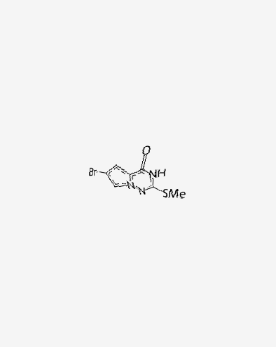 CSc1nn2cc(Br)cc2c(=O)[nH]1